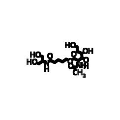 CC(=O)NC1C(OCCCCC(=O)NC(CO)CO)OC(CO)C(O)C1O